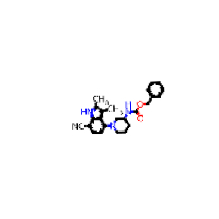 Cc1[nH]c2c(C#N)ccc(N3CCC[C@H](NC(=O)OCc4ccccc4)C3)c2c1C